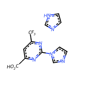 O=C(O)c1cc(C(F)(F)F)nc(-n2ccnc2)n1.c1c[nH]cn1